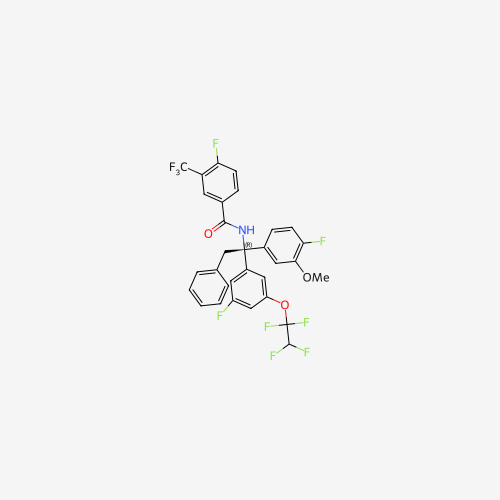 COc1cc([C@@](Cc2ccccc2)(NC(=O)c2ccc(F)c(C(F)(F)F)c2)c2cc(F)cc(OC(F)(F)C(F)F)c2)ccc1F